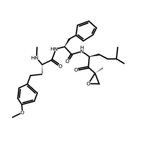 CN[C@@H](CCc1ccc(OC)cc1)C(=O)N[C@@H](Cc1ccccc1)C(=O)N[C@@H](CCC(C)C)C(=O)[C@@]1(C)CO1